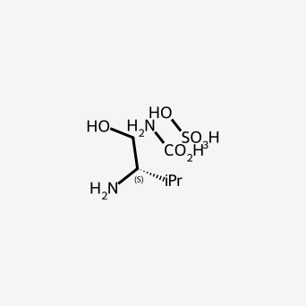 CC(C)[C@H](N)CO.NC(=O)O.O=S(=O)(O)O